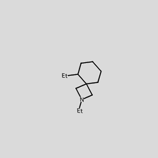 CCC1CCCCC12CN(CC)C2